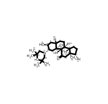 CC(=O)[C@H]1CC[C@H]2[C@@H]3CC[C@H]4C[C@H](O)[C@@H](N5CC(C)(C)OC(C)(C)C5)C[C@]4(C)[C@H]3C(=O)C[C@]12C